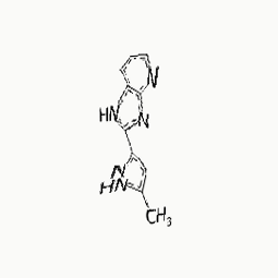 Cc1cc(-c2nc3ncccc3[nH]2)n[nH]1